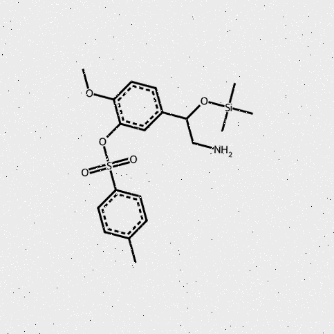 COc1ccc(C(CN)O[Si](C)(C)C)cc1OS(=O)(=O)c1ccc(C)cc1